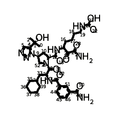 CC(C)(O)c1cnnn1[C@H]1C[C@@H](C(=O)NC(CCCCNC(=O)O)C(=O)C(N)=O)N(C(=O)C(CC2CCCCC2)NC(=O)c2cccc(C(N)=O)c2)C1